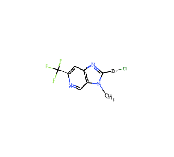 Cn1[c]([Zn][Cl])nc2cc(C(F)(F)F)ncc21